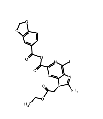 CCOC(=O)Cn1c(N)nc2c(I)nc(C(=O)OC(=O)c3ccc4c(c3)OCO4)nc21